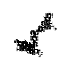 CC1(C)O[C@@H]2C[C@H]3[C@@H]4CCC5=CC(=O)C=C[C@]5(C)[C@@]4(F)[C@@H](O)C[C@]3(C)[C@]2(C(=O)COC(=O)c2ccc(C(=O)OCc3ccc([C@@H](CN)C(=O)Nc4ccc5ccccc5c4)cc3)cc2)O1